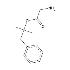 CC(C)(Cc1ccccc1)OC(=O)CN